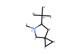 CN1CC2(CC2)CC1C(C)(C)C